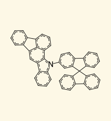 c1ccc2c(c1)-c1cccc3c1c-2cc1c2ccccc2n(-c2ccc4c(c2)C2(c5ccccc5-c5ccccc52)c2ccccc2-4)c31